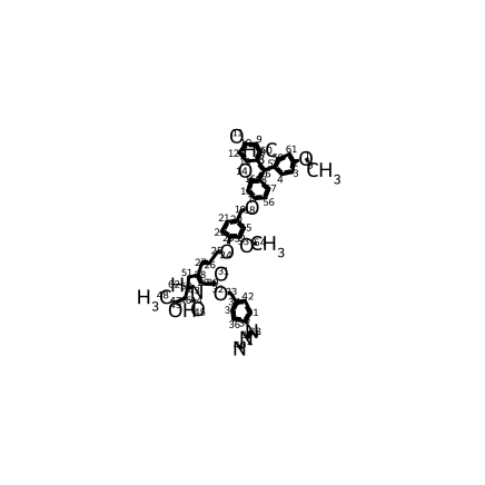 COc1ccc(-c2c3ccc(=O)cc-3oc3cc(OCc4ccc(OC/C=C/C5=C(C(=O)OCc6ccc(N=[N+]=[N-])cc6)N6C(=O)[C@H]([C@@H](C)O)[C@H]6C5)c(OC)c4)ccc23)c(C)c1